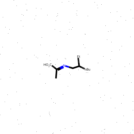 CCCCC(CC)CN=C(C)C(=O)O